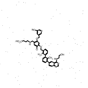 Cc1c(COc2cc(OCc3cncc(C#N)c3)c(CNCCCC(=O)O)cc2Cl)cccc1-c1cccc(-c2ccc3ncnc(NCCO)c3c2)c1C